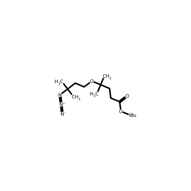 CC(C)(CCOC(C)(C)CCC(=O)OC(C)(C)C)N=[N+]=[N-]